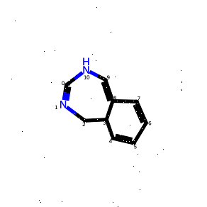 [C]1=NCC2C=CC=CC2=CN1